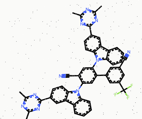 Cc1nc(C)nc(-c2ccc3c(c2)c2ccccc2n3-c2cc(-c3cc(C#N)cc(C(F)(F)F)c3)c(-n3c4ccccc4c4cc(-c5nc(C)nc(C)n5)ccc43)cc2C#N)n1